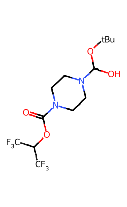 CC(C)(C)OC(O)N1CCN(C(=O)OC(C(F)(F)F)C(F)(F)F)CC1